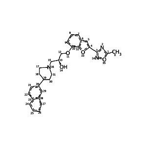 Cc1nc(-c2cc3cccc(OC[C@@H](O)CN4CCC(c5ccc6ccccc6c5)CC4)c3o2)no1